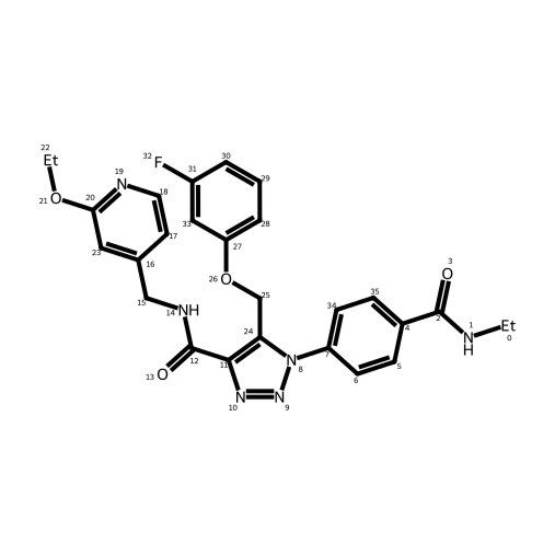 CCNC(=O)c1ccc(-n2nnc(C(=O)NCc3ccnc(OCC)c3)c2COc2cccc(F)c2)cc1